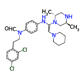 C[C@@H]1CN[C@@H](C)CN1/C(=C\N1CCCCC1)Nc1ccc(N(C=O)CCc2ccc(Cl)cc2Cl)cc1